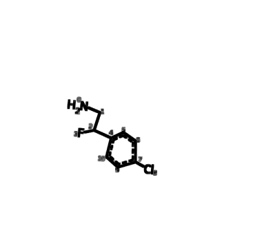 NCC(F)c1ccc(Cl)cc1